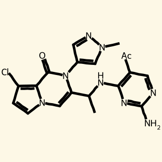 CC(=O)c1cnc(N)nc1NC(C)c1cn2ccc(Cl)c2c(=O)n1-c1cnn(C)c1